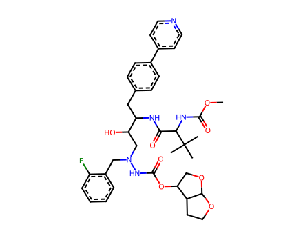 COC(=O)NC(C(=O)NC(Cc1ccc(-c2ccncc2)cc1)C(O)CN(Cc1ccccc1F)NC(=O)OC1COC2OCCC12)C(C)(C)C